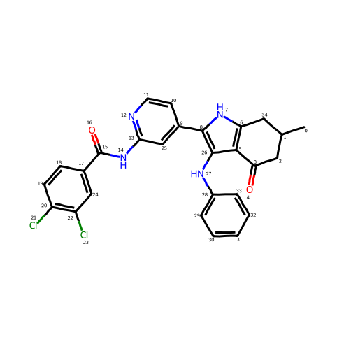 CC1CC(=O)c2c([nH]c(-c3ccnc(NC(=O)c4ccc(Cl)c(Cl)c4)c3)c2Nc2ccccc2)C1